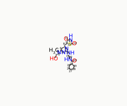 CN(CCO)c1cc(/C=C2\SC(=O)NC2=O)nc(NCCNC(=O)c2ccccc2)n1